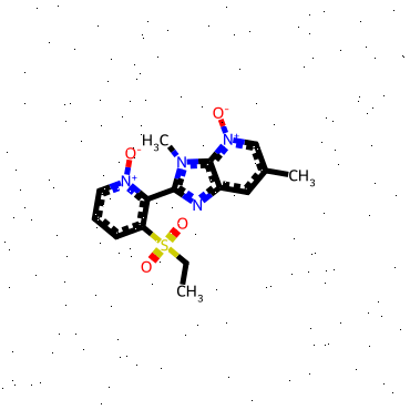 CCS(=O)(=O)c1ccc[n+]([O-])c1-c1nc2cc(C)c[n+]([O-])c2n1C